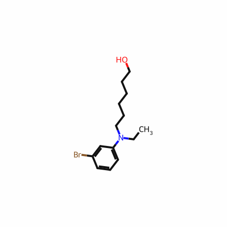 CCN(CCCCCCO)c1cccc(Br)c1